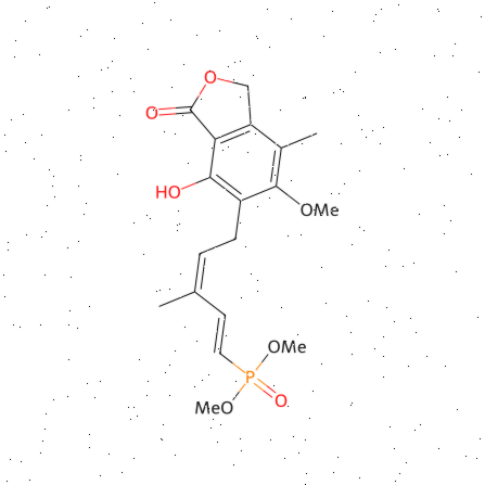 COc1c(C)c2c(c(O)c1CC=C(C)C=CP(=O)(OC)OC)C(=O)OC2